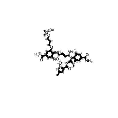 CCn1nc(C)cc1C(=O)/N=c1\n(C)c2cc(C(N)=O)cc(OC)c2n1C/C=C/CNc1c(OCCCO[Si](C)(C)C(C)(C)C)cc(C(N)=O)cc1[N+](=O)[O-]